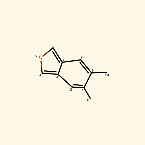 Cc1cc2cscc2cc1C